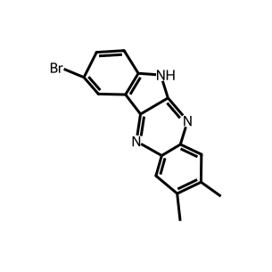 Cc1cc2nc3[nH]c4ccc(Br)cc4c3nc2cc1C